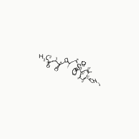 CC(=O)CC(=O)OCCS(=O)(=O)c1ccc(C)cc1